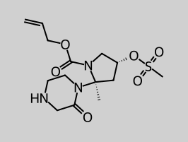 C=CCOC(=O)N1C[C@H](OS(C)(=O)=O)C[C@@]1(C)N1CCNCC1=O